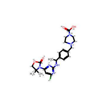 CC(Nc1nc(F)cc(N2C(=O)OCC2(C)C)n1)c1ccc(CN2CCN(C(=O)O)CC2)cc1